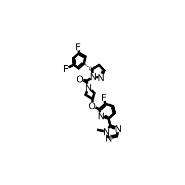 Cn1ncnc1-c1ccc(F)c(OC2CN(C(=O)N3N=CC[C@H]3c3cc(F)cc(F)c3)C2)n1